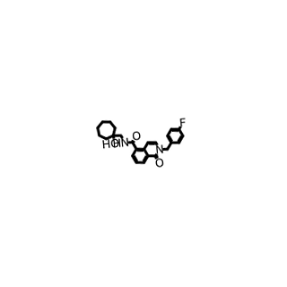 O=C(NCC1(O)CCCCCC1)c1cccc2c(=O)n(Cc3ccc(F)cc3)ccc12